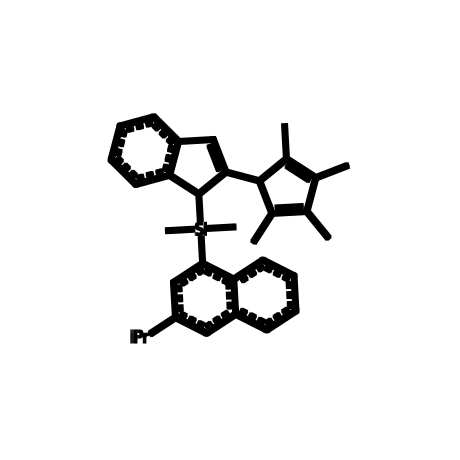 CC1=C(C)C(C2=Cc3ccccc3C2[Si](C)(C)c2cc(C(C)C)cc3ccccc23)C(C)=C1C